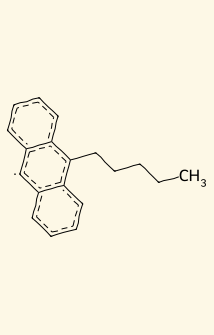 CCCCCc1c2ccccc2[c]c2ccccc12